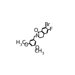 COc1cc(CN2CCc3cc(F)c(Br)cc3C2=O)cc(OC)c1